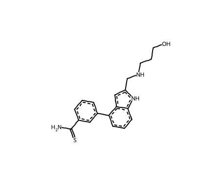 NC(=S)c1cccc(-c2cccc3[nH]c(CNCCCO)cc23)c1